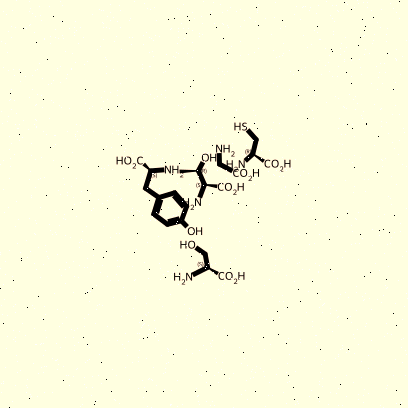 C[C@@H](O)[C@H](N)C(=O)O.NCC(=O)O.N[C@@H](CO)C(=O)O.N[C@@H](CS)C(=O)O.N[C@@H](Cc1ccc(O)cc1)C(=O)O